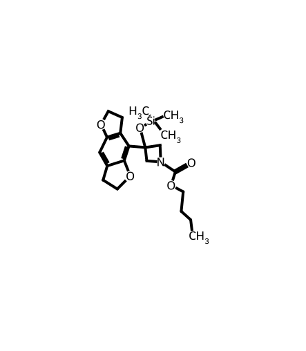 CCCCOC(=O)N1CC(O[Si](C)(C)C)(c2c3c(cc4c2OCC4)OCC3)C1